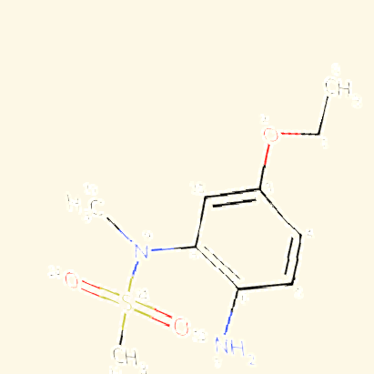 CCOc1ccc(N)c(N(C)S(C)(=O)=O)c1